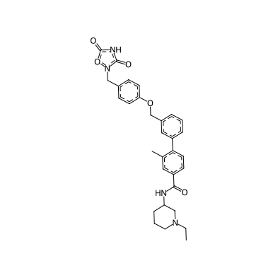 CCN1CCCC(NC(=O)c2ccc(-c3cccc(COc4ccc(Cn5oc(=O)[nH]c5=O)cc4)c3)c(C)c2)C1